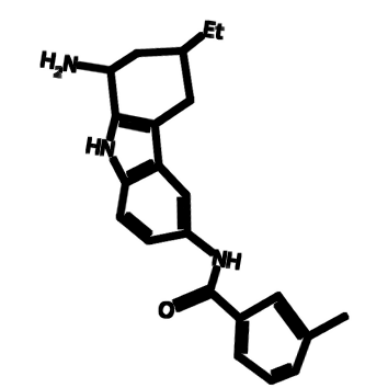 CCC1Cc2c([nH]c3ccc(NC(=O)c4cccc(C)c4)cc23)C(N)C1